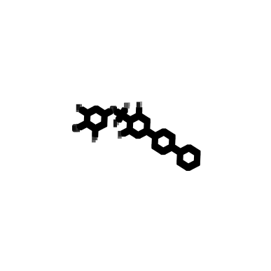 FC1CC(OC(F)(F)C2C(F)CC(C3CCC(C4CCCCC4)CC3)CC2F)CC(F)C1Cl